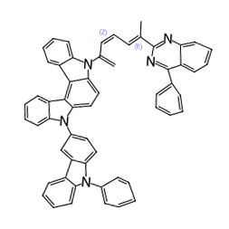 C=C(/C=C\C=C(/C)c1nc(-c2ccccc2)c2ccccc2n1)n1c2ccccc2c2c3c4ccccc4n(-c4ccc5c(c4)c4ccccc4n5-c4ccccc4)c3ccc21